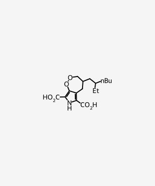 CCCCC(CC)CC1COOc2c(C(=O)O)[nH]c(C(=O)O)c2C1